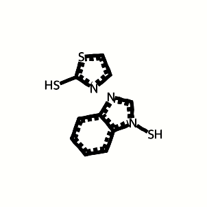 Sc1nccs1.Sn1cnc2ccccc21